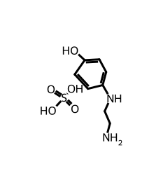 NCCNc1ccc(O)cc1.O=S(=O)(O)O